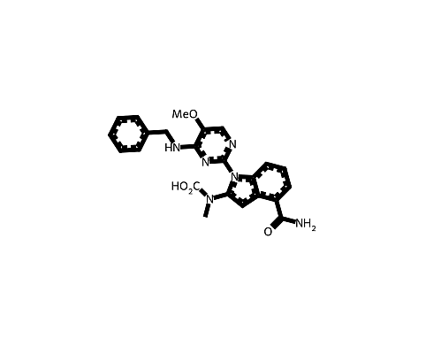 COc1cnc(-n2c(N(C)C(=O)O)cc3c(C(N)=O)cccc32)nc1NCc1ccccc1